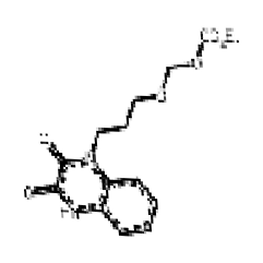 CCOC(=O)OCOCCCn1c(=O)c(=O)[nH]c2ccccc21